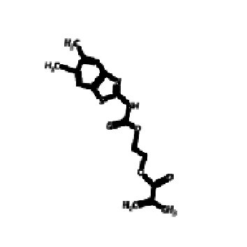 C=C(C)C(=O)OCCOC(=O)Nc1nc2cc(C)c(C)cc2s1